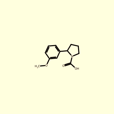 COc1cccc(C2[CH]CCN2C(=O)O)c1